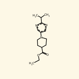 CCOC(=O)C1CCN(c2cnc(C(C)C)nc2)CC1